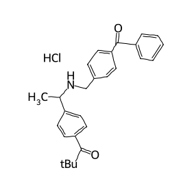 CC(NCc1ccc(C(=O)c2ccccc2)cc1)c1ccc(C(=O)C(C)(C)C)cc1.Cl